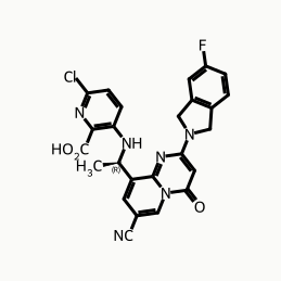 C[C@@H](Nc1ccc(Cl)nc1C(=O)O)c1cc(C#N)cn2c(=O)cc(N3Cc4ccc(F)cc4C3)nc12